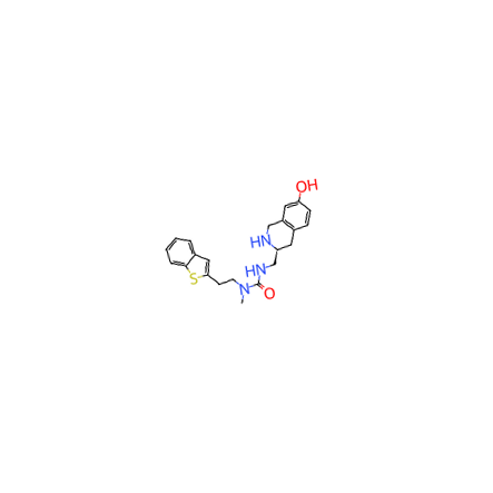 CN(CCc1cc2ccccc2s1)C(=O)NC[C@@H]1Cc2ccc(O)cc2CN1